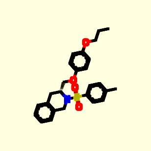 CCCOc1ccc(OC[C@H]2Cc3ccccc3CN2S(=O)(=O)c2ccc(C)cc2)cc1